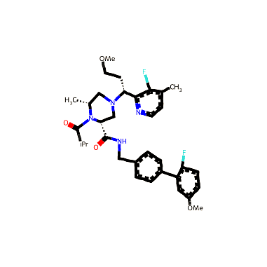 COCC[C@H](c1nccc(C)c1F)N1C[C@@H](C)N(C(=O)C(C)C)[C@@H](C(=O)NCc2ccc(-c3cc(OC)ccc3F)cc2)C1